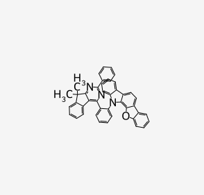 CC1(C)c2ccccc2-c2c(-c3ccccc3-n3c4ccccc4c4ccc5c6ccccc6oc5c43)nc(-c3ccccc3)nc21